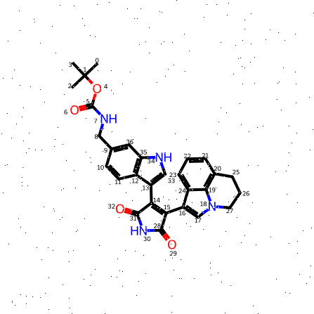 CC(C)(C)OC(=O)NCc1ccc2c(C3=C(c4cn5c6c(cccc46)CCC5)C(=O)NC3=O)c[nH]c2c1